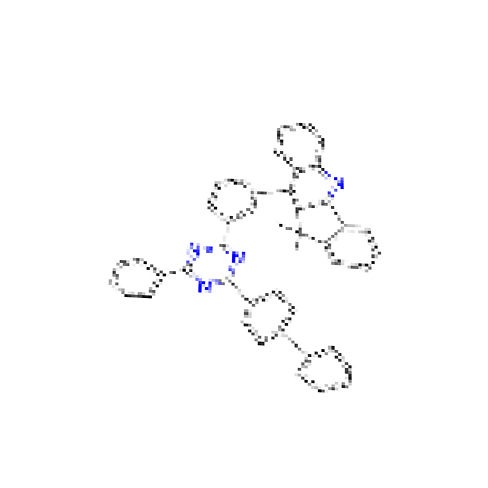 CC1(C)c2ccccc2-c2nc3ccccc3c(-c3cccc(-c4nc(-c5ccccc5)nc(-c5ccc(-c6ccccc6)cc5)n4)c3)c21